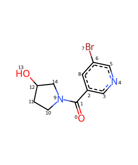 O=C(c1cncc(Br)c1)N1CCC(O)C1